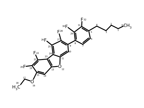 CCCCCc1ccc(-c2cc3oc4cc(OCC)c(F)c(F)c4c3c(F)c2F)c(F)c1F